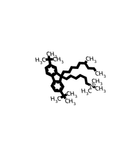 CCCC(C)CCCCCC1(CCCCCC[N+](C)(C)C)c2cc(C(C)(C)C)ccc2-c2ccc(C(C)(C)C)cc21